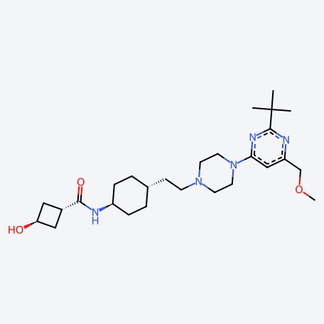 COCc1cc(N2CCN(CC[C@H]3CC[C@H](NC(=O)[C@H]4C[C@H](O)C4)CC3)CC2)nc(C(C)(C)C)n1